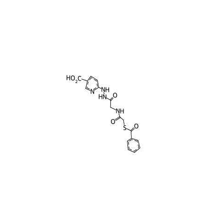 O=C(CSC(=O)c1ccccc1)NCC(=O)NNc1ccc(C(=O)O)cn1